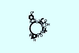 CC[C@@H]1[C@@H]2CN(C(=O)[C@H](C(C)(C)C)NC(=O)O[C@@H]3C[C@@H]4C[C@H]4[C@H]3CCCCCc3nc4ccc(OC)cc4nc3O2)[C@@H]1C(=O)O